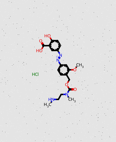 CNCCN(C)C(=O)OCc1ccc(/N=N/c2ccc(O)c(C(=O)O)c2)cc1OC.Cl